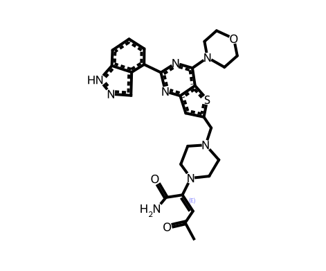 CC(=O)/C=C(\C(N)=O)N1CCN(Cc2cc3nc(-c4cccc5[nH]ncc45)nc(N4CCOCC4)c3s2)CC1